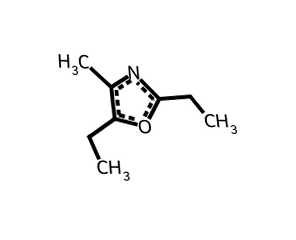 CCc1nc(C)c(CC)o1